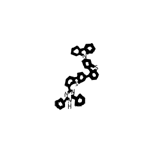 C1=CC2c3ccccc3N(c3ccc4c(c3)sc3cccc(-c5ccc6c(c5)sc5c(C7=NC(c8ccccc8)NC(c8ccccc8)=N7)cccc56)c34)C2C=C1